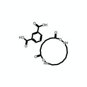 O=C(O)c1cccc(C(=O)O)c1.O=C1CCCCC(=O)ONCCCCCCNO1